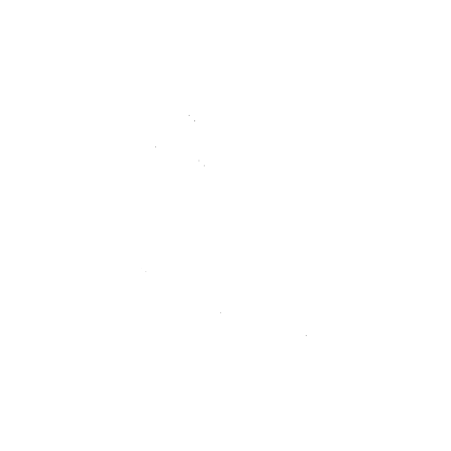 c1ccc(-c2nc(-c3ccccc3)nc(-c3ccc(-n4c5ccccc5c5ccc6c(c7ccccc7n6-c6cccc7c6c6ccccc6n7-c6ccccc6)c54)cc3)n2)cc1